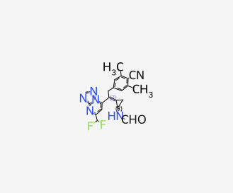 Cc1cc(C/C(=C2\C[C@H]2NC=O)c2cc(C(F)F)nc3ncnn23)cc(C)c1C#N